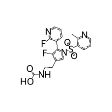 Cc1ncccc1S(=O)(=O)n1cc(CCNC(=O)O)c(F)c1-c1cccnc1F